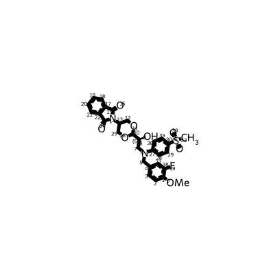 COc1ccc(CN(C[C@H](O)C2OCC(N3C(=O)c4ccccc4C3=O)CO2)c2ccc(S(C)(=O)=O)cc2)cc1F